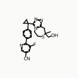 CC1(CO)Cc2nnc(C3(c4ccc(-c5ncc(C#N)cc5F)cc4)CC3)n2CCS1